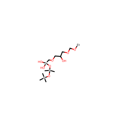 CCOCOCC(O)COC[Si](O)(O)O[Si](C)(C)O[Si](C)(C)C